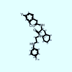 O=C(Cc1ccc(F)cc1Cl)N[C@@H](CC1CCCCC1)C(=O)NCCNc1ccc(F)cc1